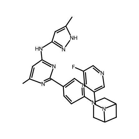 Cc1cc(Nc2cc(C)[nH]n2)nc(-c2ccc(N3CC4CC(C3)N4Cc3cncc(F)c3)nc2)n1